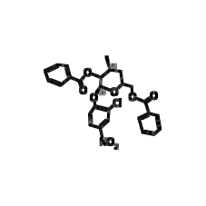 C[C@H]1CC(COC(=O)c2ccccc2)O[C@@H](Oc2ccc([N+](=O)[O-])cc2Cl)C1OC(=O)c1ccccc1